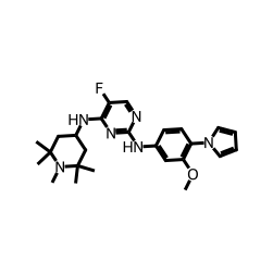 COc1cc(Nc2ncc(F)c(NC3CC(C)(C)N(C)C(C)(C)C3)n2)ccc1-n1cccc1